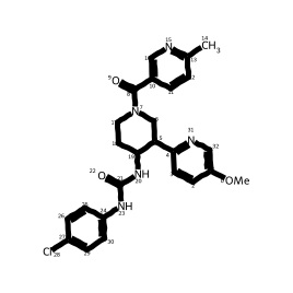 COc1ccc(C2CN(C(=O)c3ccc(C)nc3)CCC2NC(=O)Nc2ccc(Cl)cc2)nc1